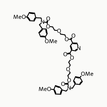 COc1ccc(CN(Cc2ccc(OC)cc2)C(=O)OCCOCCOC(=O)c2cncc(C(=O)OCCOCCOC(=O)N(Cc3ccc(OC)cc3)Cc3ccc(OC)cc3)c2)cc1